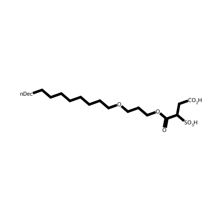 CCCCCCCCCCCCCCCCCCOCCCOC(=O)C(CC(=O)O)S(=O)(=O)O